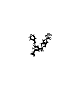 CC(C)(C)OC(=O)N1CC2=C(C1)CN(C(=O)c1cc(OCC3CCOCC3)nc(C3CC3)c1)C2